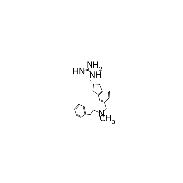 CN(CCc1ccccc1)Cc1ccc2c(c1)C[C@H](CNC(=N)N)C2